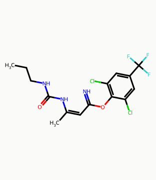 CCCNC(=O)N/C(C)=C\C(=N)Oc1c(Cl)cc(C(F)(F)F)cc1Cl